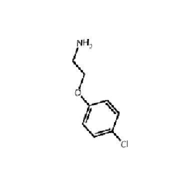 NCCOc1ccc(Cl)cc1